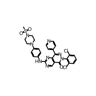 CS(=O)(=O)N1CCN(c2ccc(Nc3ncc4c(=O)n(-c5c(Cl)cccc5Cl)nc(-c5ccncc5)c4n3)cc2)CC1